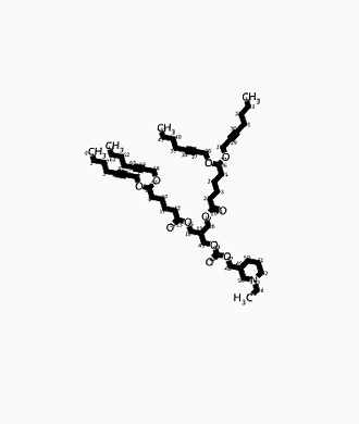 CCCCC#CCOC(CCCCC(=O)OCC(COC(=O)CCCCC(OCC#CCCCC)OCC#CCCCC)COC(=O)OCC1CCCN(CC)C1)OCC#CCCCC